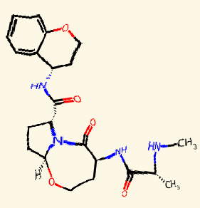 CN[C@H](C)C(=O)N[C@H]1CCO[C@H]2CC[C@H](C(=O)N[C@H]3CCOc4ccccc43)N2C1=O